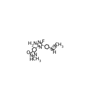 Cc1nc2cc(-c3nc(-c4ccc([C@]56C[C@H]5CN(C)C6)cc4)c(F)nc3N)ccc2c(=O)[nH]1